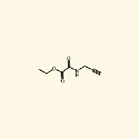 C#CCNC(=O)C(=O)OCC